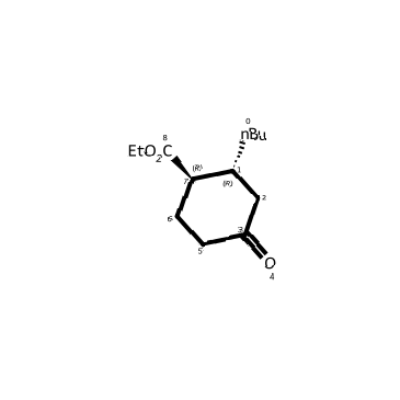 CCCC[C@@H]1CC(=O)CC[C@H]1C(=O)OCC